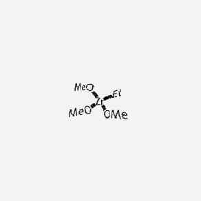 C[CH2][Zr]([O]C)([O]C)[O]C